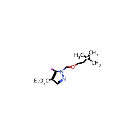 CCOC(=O)c1cnn(COCC[Si](C)(C)C)c1I